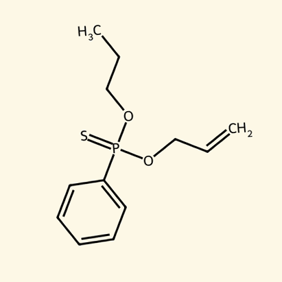 C=CCOP(=S)(OCCC)c1ccccc1